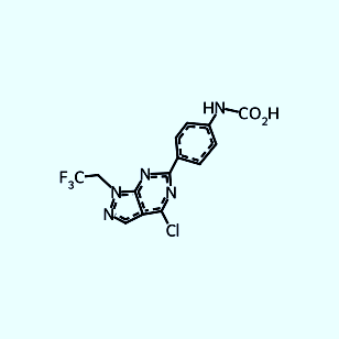 O=C(O)Nc1ccc(-c2nc(Cl)c3cnn(CC(F)(F)F)c3n2)cc1